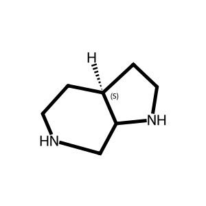 C1C[C@H]2CCNC2CN1